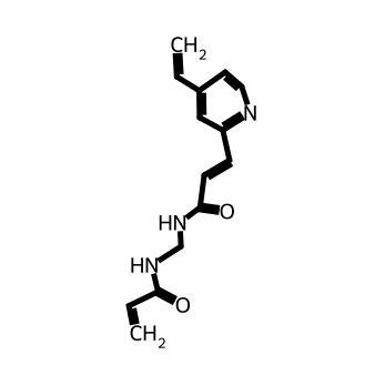 C=CC(=O)NCNC(=O)C=Cc1cc(C=C)ccn1